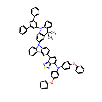 CC1(C)c2ccccc2N(c2cc(-c3ccccc3)cc(-c3ccccc3)c2)c2ccc(-n3c4ccccc4c4cc(-c5ccc(N(c6ccc(Oc7ccccc7)cc6)c6ccc(Oc7ccccc7)cc6)c6nsnc56)ccc43)cc21